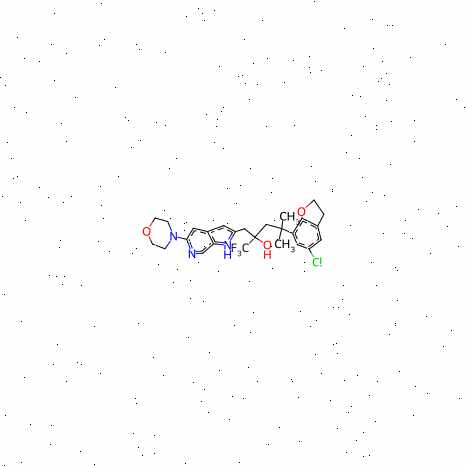 CC(C)(CC(O)(Cc1cc2cc(N3CCOCC3)ncc2[nH]1)C(F)(F)F)c1cc(Cl)cc2c1OCC2